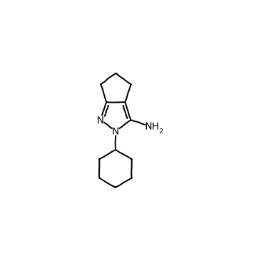 Nc1c2c(nn1C1CCCCC1)CCC2